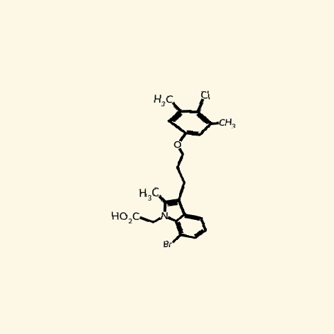 Cc1cc(OCCCc2c(C)n(CC(=O)O)c3c(Br)cccc23)cc(C)c1Cl